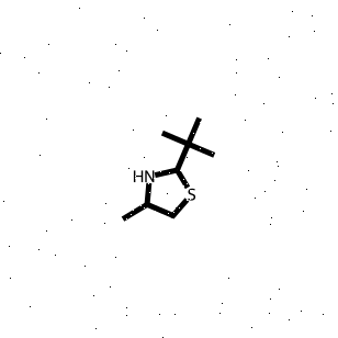 CC1CSC(C(C)(C)C)N1